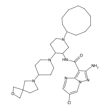 Nc1nn2cc(Cl)cnc2c1C(=O)NC1CN(C2CCCCCCCCC2)CCC1N1CCC(N2CCC3(COC3)C2)CC1